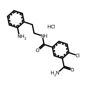 Cl.NC(=O)c1cc(C(=O)NCCc2ccccc2N)ccc1Cl